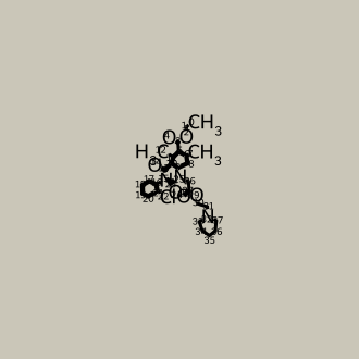 CCOC(=O)c1c(C)cc2c(c1C)c(=O)n(-c1ccccc1Cl)c(=O)n2CC(=O)OCCN1CCCCC1